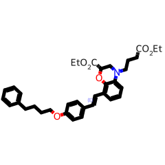 CCOC(=O)CCCN1CC(C(=O)OCC)Oc2c(/C=C/c3ccc(OCCCCc4ccccc4)cc3)cccc21